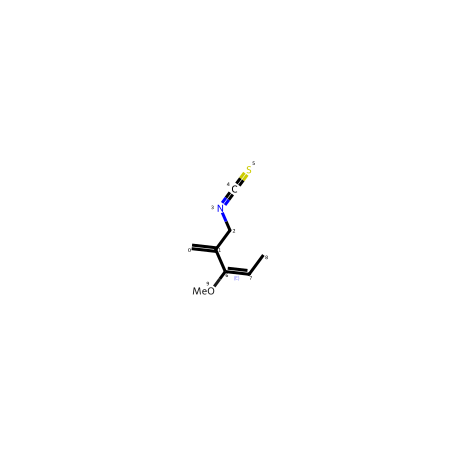 C=C(CN=C=S)/C(=C\C)OC